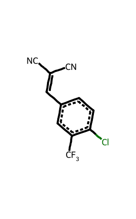 N#CC(C#N)=Cc1ccc(Cl)c(C(F)(F)F)c1